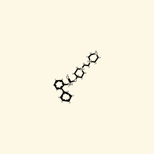 O=C(Nc1ccccc1-c1ccccc1)OC1CCN(CCN2CCOCC2)CC1